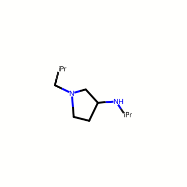 CC(C)CN1CCC(NC(C)C)C1